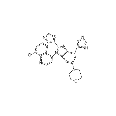 Clc1cccc2c(-n3c(-c4cncs4)nc4c(-c5nnc[nH]5)cc(N5CCOCC5)cc43)ccnc12